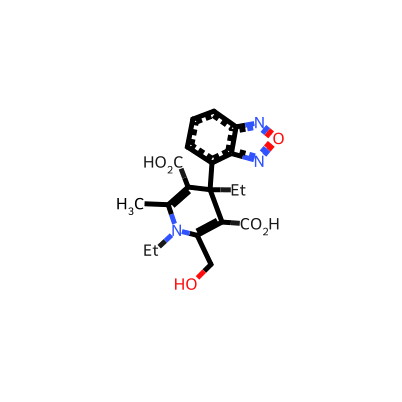 CCN1C(C)=C(C(=O)O)C(CC)(c2cccc3nonc23)C(C(=O)O)=C1CO